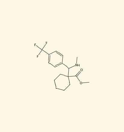 CNC(c1ccc(C(F)(F)F)cc1)C1(C(=O)OC)CCCCC1